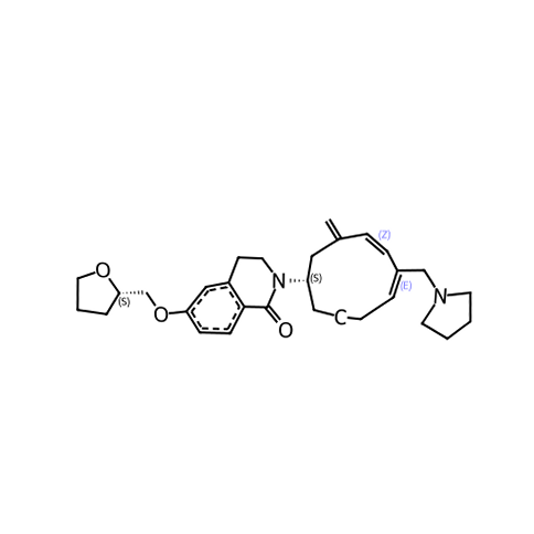 C=C1/C=C\C(CN2CCCC2)=C/CCC[C@H](N2CCc3cc(OC[C@@H]4CCCO4)ccc3C2=O)C1